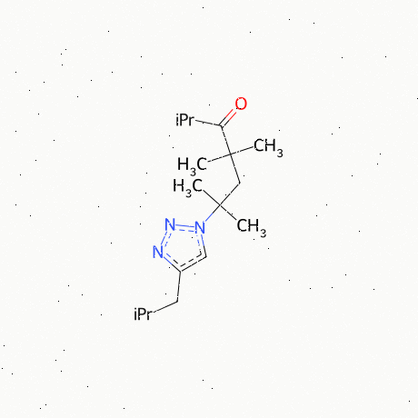 CC(C)Cc1cn(C(C)(C)CC(C)(C)C(=O)C(C)C)nn1